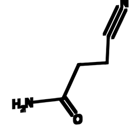 N#CCCC(N)=O